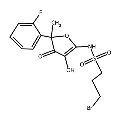 CC1(c2ccccc2F)OC(NS(=O)(=O)CCCBr)=C(O)C1=O